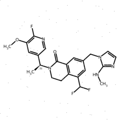 CNc1nccn1Cc1cc2c(c(C(F)F)c1)CCN([C@@H](C)c1cnc(F)c(OC)c1)C2=O